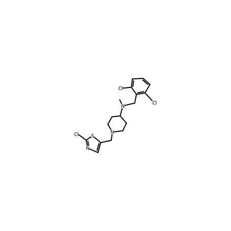 CN(Cc1c(Cl)cccc1Cl)C1CCN(Cc2cnc(Cl)s2)CC1